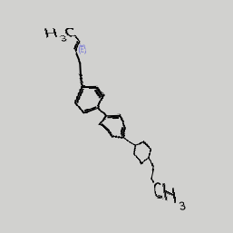 C/C=C/CCc1ccc(-c2ccc(C3CCC(CCC)CC3)cc2)cc1